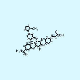 Cn1ccnc1-c1cccc(Oc2nc(Oc3cc(C(=N)N)ccc3O)c(F)c(Oc3ccc(/C=C/C(=O)O)cc3)c2F)c1